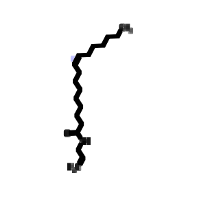 C=CCNC(=O)CCCCCCC/C=C\CCCCCC